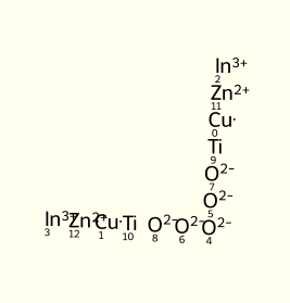 [Cu].[Cu].[In+3].[In+3].[O-2].[O-2].[O-2].[O-2].[O-2].[Ti].[Ti].[Zn+2].[Zn+2]